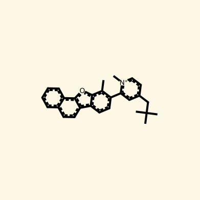 Cc1c(-c2cc(CC(C)(C)C)cc[n+]2C)ccc2c1oc1c3ccccc3ccc21